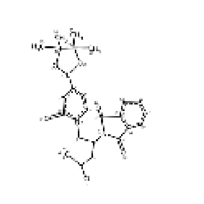 CC(C)CC(Cn1ccc(B2OC(C)(C)C(C)(C)O2)cc1=O)N1C(=O)c2ccccc2C1=O